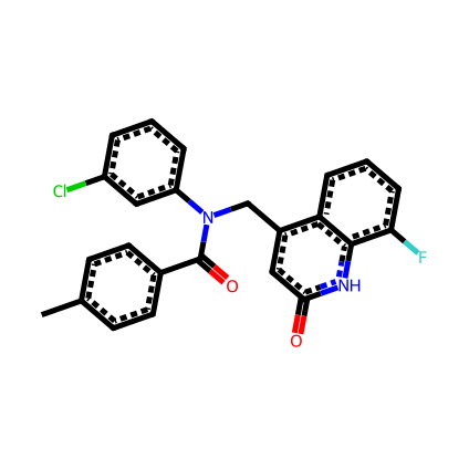 Cc1ccc(C(=O)N(Cc2cc(=O)[nH]c3c(F)cccc23)c2cccc(Cl)c2)cc1